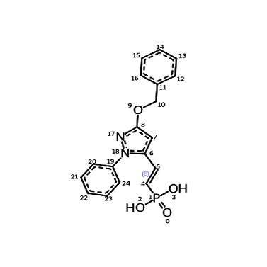 O=P(O)(O)/C=C/c1cc(OCc2ccccc2)nn1-c1ccccc1